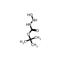 CC(C)(C)OC(=O)NNO